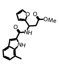 COC(=O)CC(NC(=O)c1cc2cccc(C)c2[nH]1)c1ccco1